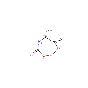 C/C=C1/NC(=O)OCCC1C